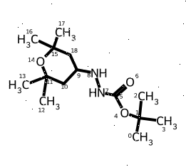 CC(C)(C)OC(=O)NNC1CC(C)(C)OC(C)(C)C1